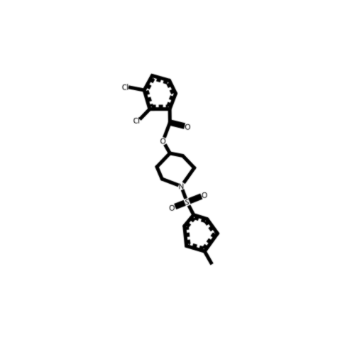 Cc1ccc(S(=O)(=O)N2CCC(OC(=O)c3cccc(Cl)c3Cl)CC2)cc1